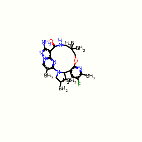 Bc1cn2nc(N)c3c2nc1N1CC(B)C(B)C1c1c(nc(B)c(F)c1B)OCC(B)(B)CNC3=O